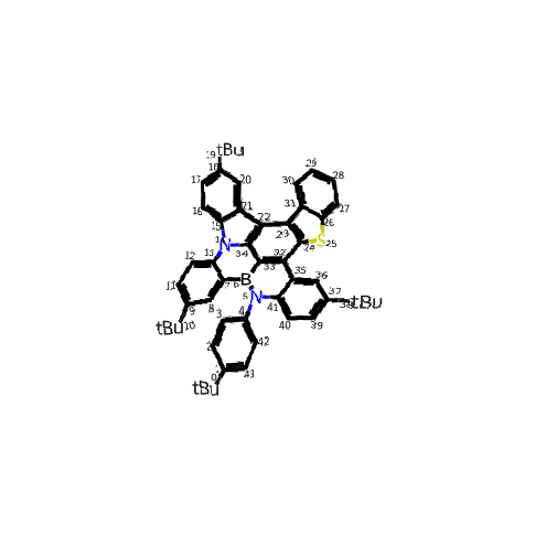 CC(C)(C)c1ccc(N2B3c4cc(C(C)(C)C)ccc4-n4c5ccc(C(C)(C)C)cc5c5c6c(sc7ccccc76)c(c3c54)-c3cc(C(C)(C)C)ccc32)cc1